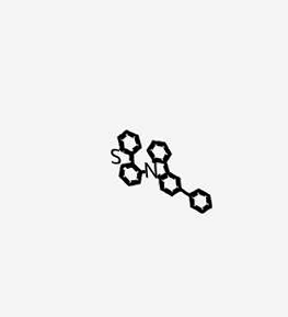 c1ccc(-c2ccc3c(c2)c2ccccc2n3-c2cccc3sc4ccccc4c23)cc1